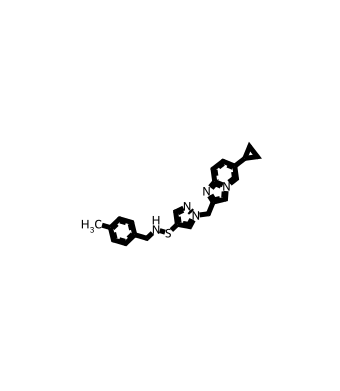 Cc1ccc(CNSc2cnn(Cc3cn4cc(C5CC5)ccc4n3)c2)cc1